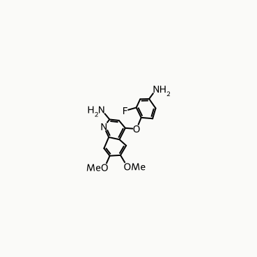 COc1cc2nc(N)cc(Oc3ccc(N)cc3F)c2cc1OC